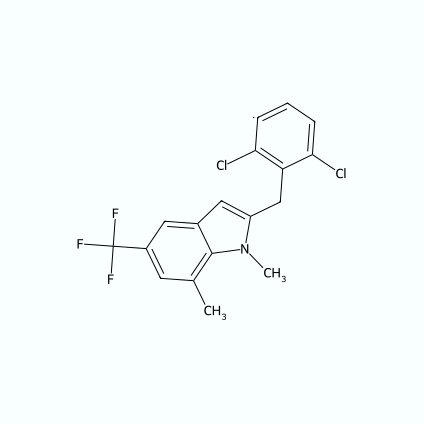 Cc1cc(C(F)(F)F)cc2cc(Cc3c(Cl)[c]ccc3Cl)n(C)c12